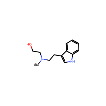 CC(C)(C)N(CCO)CCc1c[nH]c2ccccc12